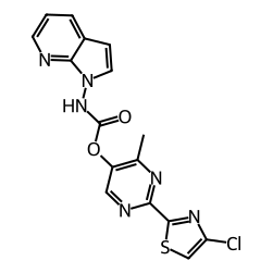 Cc1nc(-c2nc(Cl)cs2)ncc1OC(=O)Nn1ccc2cccnc21